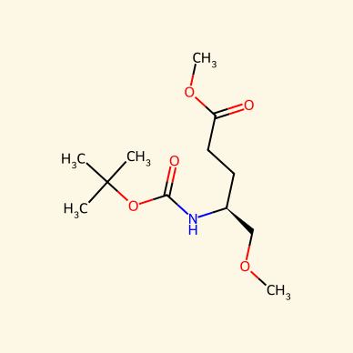 COC[C@H](CCC(=O)OC)NC(=O)OC(C)(C)C